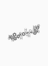 NC(=O)c1cnc2ccc(-c3ccc(C(=O)N[C@H]4CC[C@@H](NC(=O)CNC(=O)COc5cccc6c5C(=O)N(C5CCC(=O)NC5=O)C6=O)CC4)cc3)cc2c1Nc1ccccc1